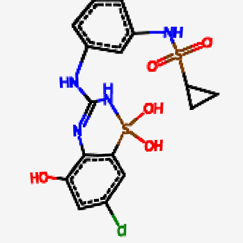 O=S(=O)(Nc1cccc(NC2=Nc3c(O)cc(Cl)cc3S(O)(O)N2)c1)C1CC1